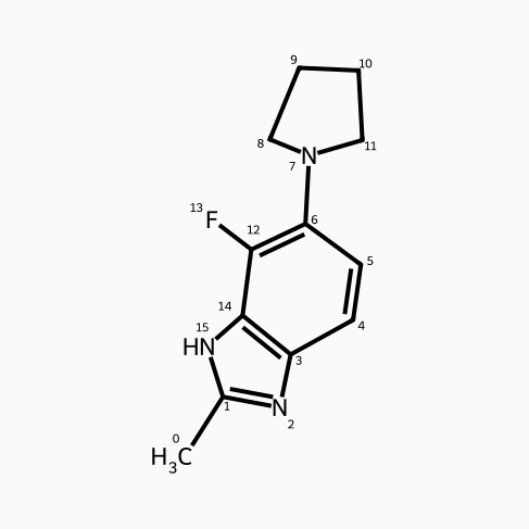 Cc1nc2ccc(N3CCCC3)c(F)c2[nH]1